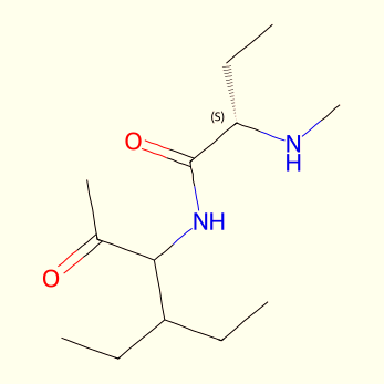 CCC(CC)C(NC(=O)[C@H](CC)NC)C(C)=O